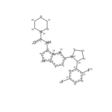 O=C(Nc1cnc2ccc(N3CCCC3c3cc(F)ccc3F)nn12)N1CCCCC1